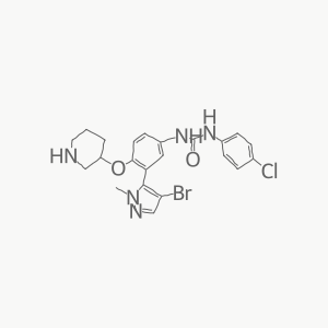 Cn1ncc(Br)c1-c1cc(NC(=O)Nc2ccc(Cl)cc2)ccc1OC1CCCNC1